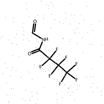 O=CNC(=O)C(F)(F)C(F)(F)C(F)(F)F